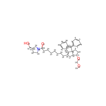 C=C(c1ccccc1)C12CCC(OCOC)C1CC(CCCCCCCC(=O)N1CC[C@@H](CO)C1)=C2c1ccccc1